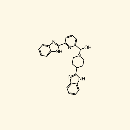 OC(c1cccc(-c2nc3ccccc3[nH]2)n1)N1CCC(c2nc3ccccc3[nH]2)CC1